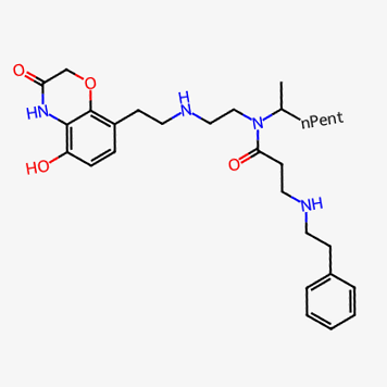 CCCCCC(C)N(CCNCCc1ccc(O)c2c1OCC(=O)N2)C(=O)CCNCCc1ccccc1